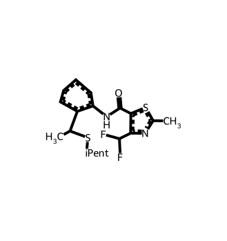 CCCC(C)SC(C)c1ccccc1NC(=O)c1sc(C)nc1C(F)F